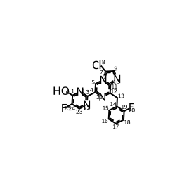 Oc1nc(-c2cn3c(Cl)cnc3c(Cc3ccccc3F)n2)ncc1F